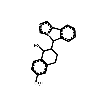 O=C(O)c1ccc2c(c1)CCC(C1c3ccccc3-c3cncn31)C2O